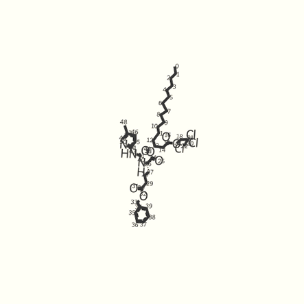 CCCCCCCCCCCCCC(CC(=O)OCC(Cl)(Cl)Cl)OC(=O)[C@H](CCCC(=O)OCc1ccccc1)NC(=O)Nc1ccc(C)cn1